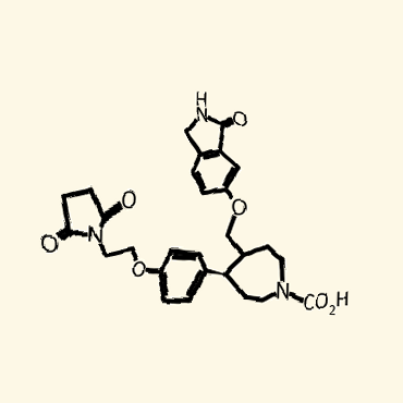 O=C1NCc2ccc(OCC3CCN(C(=O)O)CC[C@H]3c3ccc(OCCN4C(=O)CCC4=O)cc3)cc21